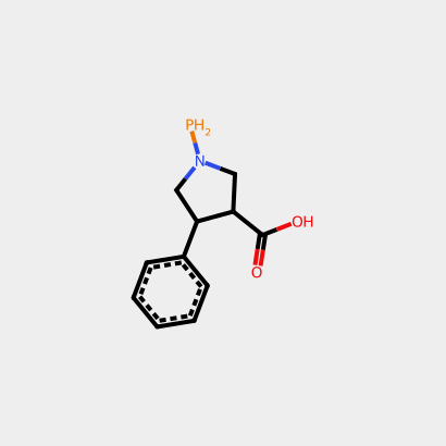 O=C(O)C1CN(P)CC1c1ccccc1